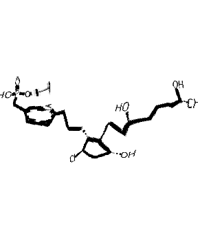 C[C@@H](O)CCC[C@H](O)/C=C/[C@@H]1[C@@H](CCCc2ccc(CP(=O)(O)O)s2)[C@H](Cl)C[C@H]1O